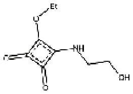 CCOc1c(NCCO)c(=O)c1=O